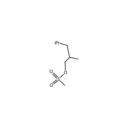 CC(C)CC(C)COS(C)(=O)=O